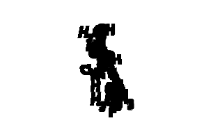 CC(C)c1ccccc1[C@@H]1CN(Cc2ccc(F)cc2)CCN1C1CC2(CCN(c3ccc(C(=O)NS(=O)(=O)c4ccc(NCC5CCC(C)(O)CC5)c([N+](=O)[O-])c4)c(Oc4cnc5[nH]cc(Cl)c5c4)c3)CC2)C1